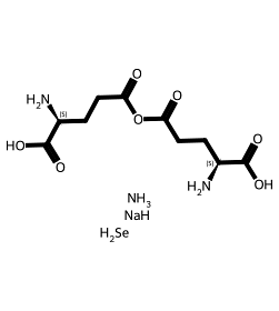 N.N[C@@H](CCC(=O)OC(=O)CC[C@H](N)C(=O)O)C(=O)O.[NaH].[SeH2]